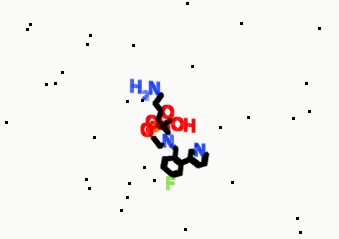 NCCCC[C@@]1(C(=O)O)CN(Cc2ccc(F)cc2-c2cccnc2)CCP1(=O)O